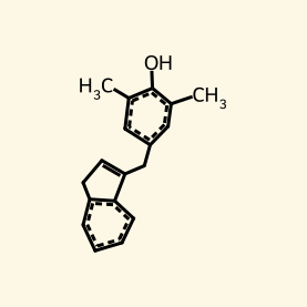 Cc1cc(CC2=CCc3ccccc32)cc(C)c1O